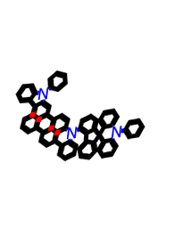 c1ccc(-c2ccc(-c3ccccc3N(c3ccc(-c4ccc5c6ccccc6n(-c6ccccc6)c5c4)cc3)c3cccc4c3-c3ccccc3C43c4ccccc4N(c4ccccc4)c4ccccc43)cc2)cc1